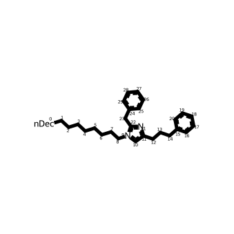 CCCCCCCCCCCCCCCCCCn1cc(CCCc2ccccc2)nc1Cc1ccccc1